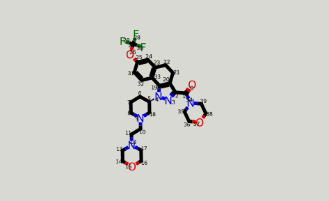 O=C(c1nn([C@H]2CCCN(CCN3CCOCC3)C2)c2c1CCc1cc(OC(F)(F)F)ccc1-2)N1CCOCC1